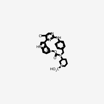 CC(C)(C)OC(=O)N(Cc1ccc(Nc2ncc(Cl)c(-c3c[nH]c4ccccc34)n2)cc1)C1CCCN(C(=O)O)C1